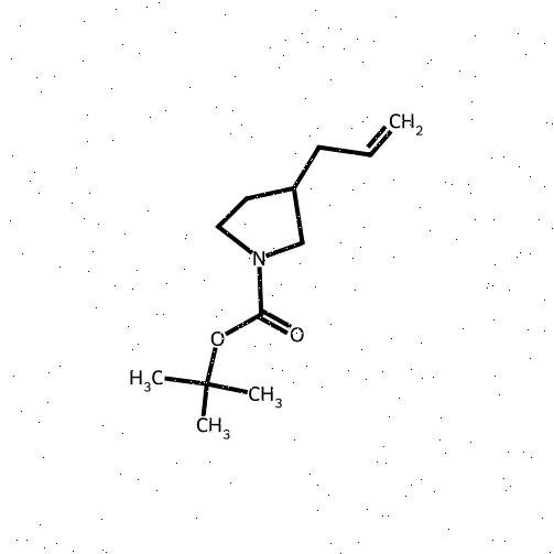 C=CCC1CCN(C(=O)OC(C)(C)C)C1